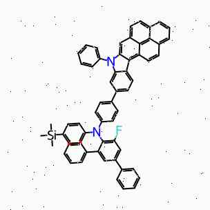 C[Si](C)(C)c1ccc(N(c2ccc(-c3ccc4c5c6ccc7cccc8ccc(cc5n(-c5ccccc5)c4c3)c6c87)cc2)c2c(F)cc(-c3ccccc3)cc2-c2ccccc2)cc1